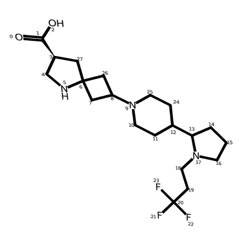 O=C(O)[C@@H]1CNC2(CC(N3CCC(C4CCCN4CCC(F)(F)F)CC3)C2)C1